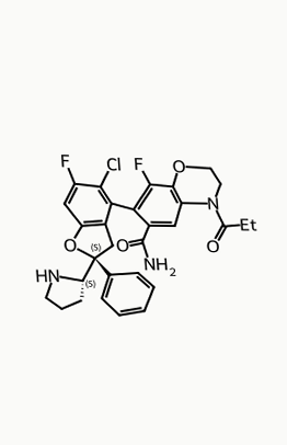 CCC(=O)N1CCOc2c1cc(C(N)=O)c(-c1c(Cl)c(F)cc3c1C[C@](c1ccccc1)([C@@H]1CCCN1)O3)c2F